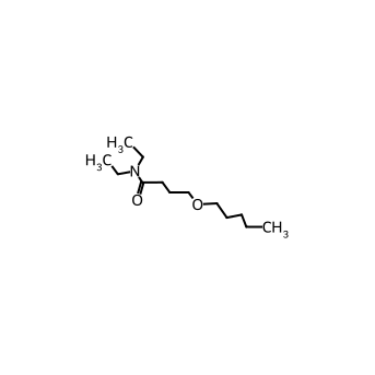 CCCCCOCCCC(=O)N(CC)CC